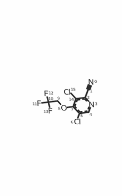 N#Cc1ncc(Cl)c(OCC(F)(F)F)c1Cl